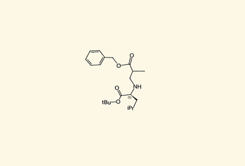 CC(C)C[C@H](NCC(C)C(=O)OCc1ccccc1)C(=O)OC(C)(C)C